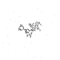 CC(C)(C)OC(=O)Nc1cn(-c2cncnc2)nc1C(F)(F)F